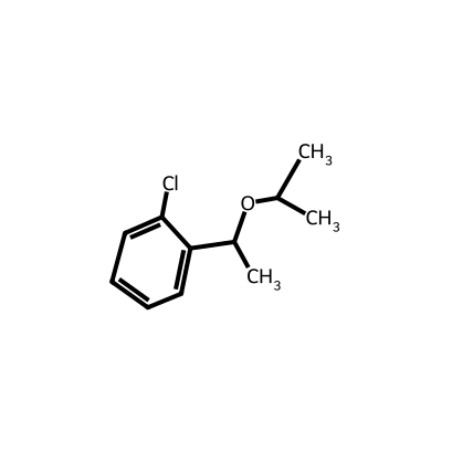 CC(C)OC(C)c1ccccc1Cl